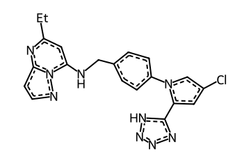 CCc1cc(NCc2ccc(-n3cc(Cl)cc3-c3nnn[nH]3)cc2)n2nccc2n1